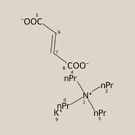 CCC[N+](CCC)(CCC)CCC.O=C([O-])C=CC(=O)[O-].[K+]